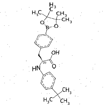 CC(C)(C)c1ccc(N[C@@H](Cc2ccc(B3OC(C)(C)C(C)(C)O3)cc2)C(=O)O)cc1